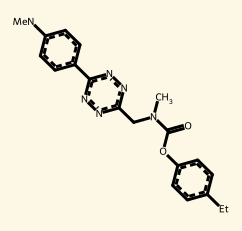 CCc1ccc(OC(=O)N(C)Cc2nnc(-c3ccc(NC)cc3)nn2)cc1